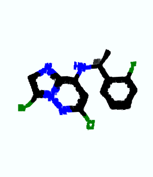 C[C@H](Nc1cc(Cl)nn2c(Br)cnc12)c1ccccc1F